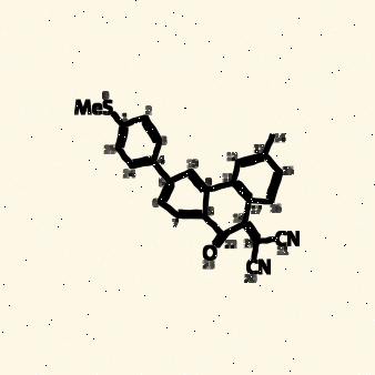 CSc1ccc(-c2ccc3c(c2)-c2cc(C)ccc2C(=C(C#N)C#N)C3=O)cc1